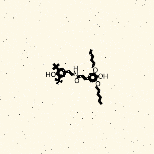 CCCCCCOc1cc(C=CC(=O)NCCc2cc(C(C)(C)C)c(O)c(C(C)(C)C)c2)cc(OCCCCCC)c1O